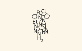 CCC(Nc1ncnc(N)c1-c1ncn(C)n1)c1nc2cccc(Cl)c2c(=O)n1-c1ccccc1F